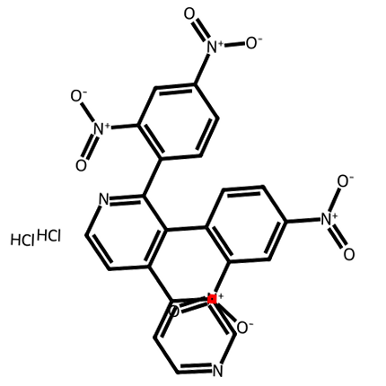 Cl.Cl.O=[N+]([O-])c1ccc(-c2nccc(-c3ccncc3)c2-c2ccc([N+](=O)[O-])cc2[N+](=O)[O-])c([N+](=O)[O-])c1